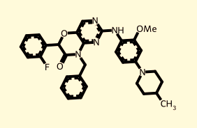 COc1cc(N2CCC(C)CC2)ccc1Nc1ncc2c(n1)N(Cc1ccccc1)C(=O)C(c1ccccc1F)O2